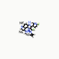 Cc1nc(F)ccc1[C@H](Nc1cc(C#N)c2ncc(C#N)c(NCC(C)(C)C)c2c1)c1nnn(C23CC(C2)C3)c1F